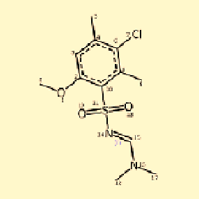 COc1cc(C)c(Cl)c(C)c1S(=O)(=O)/N=C/N(C)C